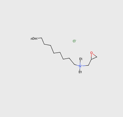 CCCCCCCCCCCCCCCCCC[N+](CC)(CC)CC1CO1.[Cl-]